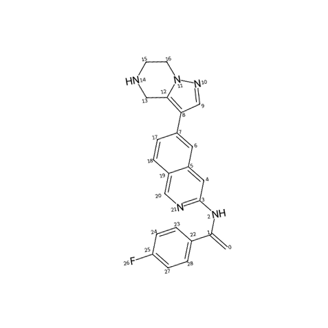 C=C(Nc1cc2cc(-c3cnn4c3CNCC4)ccc2cn1)c1ccc(F)cc1